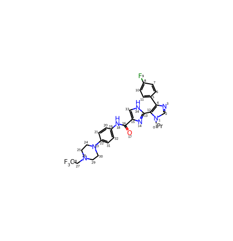 CC(C)n1cnc(-c2ccc(F)cc2)c1-c1nc(C(=O)Nc2ccc(N3CCN(CC(F)(F)F)CC3)cc2)c[nH]1